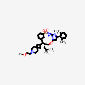 Cc1cccc(C)c1-c1cc2nc(n1)NS(=O)(=O)c1cccc(c1)C(C1CC3(CCN(CCOC(C)C)CC3)C1)[C@H](CC(C)C(F)(F)F)CO2